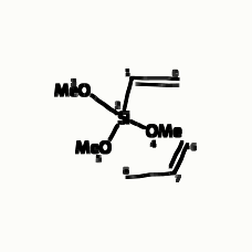 C=C[Si](OC)(OC)OC.[CH]=CC